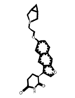 O=C1CC[C@@H](c2coc3cc4ccc(OCCN5CC6CC6C5)cc4cc23)C(=O)N1